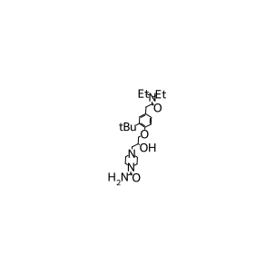 CCN(CC)C(=O)Cc1ccc(OCC(O)CN2CCN(C(N)=O)CC2)c(C(C)(C)C)c1